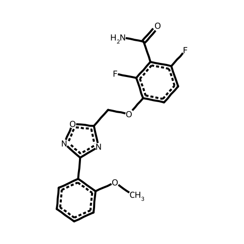 COc1ccccc1-c1noc(COc2ccc(F)c(C(N)=O)c2F)n1